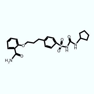 NC(=O)c1ccccc1OCCCc1ccc(S(=O)(=O)NC(=O)NC2CCCC2)cc1